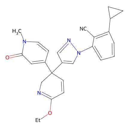 CCOC1=NCC(c2ccn(C)c(=O)c2)(c2cnn(-c3cccc(C4CC4)c3C#N)c2)C=C1